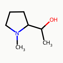 C[C](O)C1CCCN1C